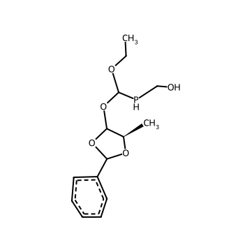 CCOC(OC1OC(c2ccccc2)O[C@@H]1C)PCO